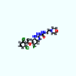 CC(Oc1cc2[nH]c(NC(=O)NCCN3CCOCC3)nc2cc1F)c1c(Cl)cccc1Cl